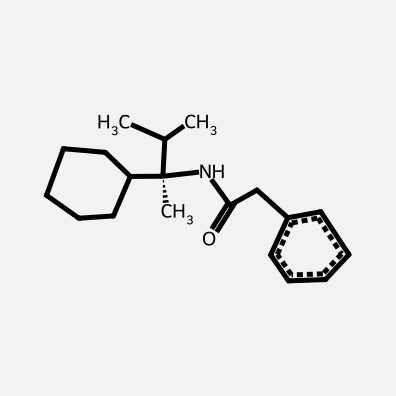 CC(C)[C@@](C)(NC(=O)Cc1ccccc1)C1CCCCC1